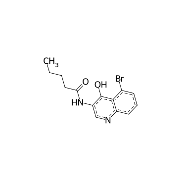 CCCCC(=O)Nc1cnc2cccc(Br)c2c1O